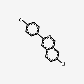 Clc1ccc(-c2cc3ccc(Cl)cc3cn2)cc1